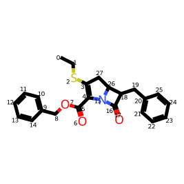 CCSC1=C(C(=O)OCc2ccccc2)N2C(=O)C(Cc3ccccc3)C2C1